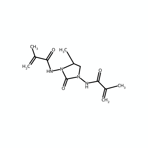 C=C(C)C(=O)NN1CC(C)N(NC(=O)C(=C)C)C1=O